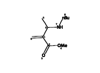 C=C(C(=O)OC)C(C)NCCCC